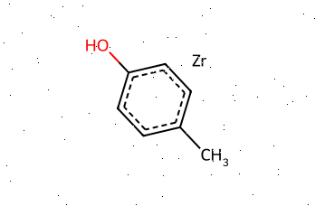 Cc1ccc(O)cc1.[Zr]